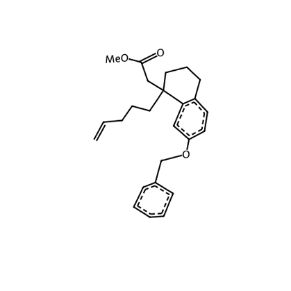 C=CCCCC1(CC(=O)OC)CCCc2ccc(OCc3ccccc3)cc21